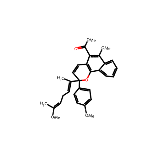 COC(=O)c1c2c(c3ccccc3c1OC)OC(/C(C)=C/C/C=C(\C)OC)(c1ccc(OC)cc1)C=C2